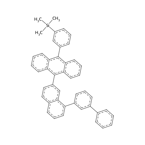 C[Si](C)(C)c1cccc(-c2c3ccccc3c(-c3ccc4cccc(-c5cccc(-c6ccccc6)c5)c4c3)c3ccccc23)c1